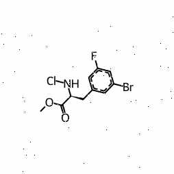 COC(=O)[C@H](Cc1cc(F)cc(Br)c1)NCl